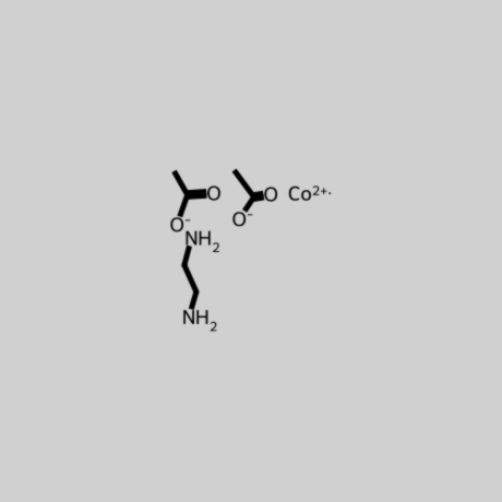 CC(=O)[O-].CC(=O)[O-].NCCN.[Co+2]